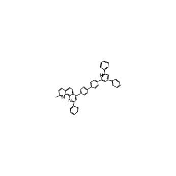 Cc1ccc2ccc3c(-c4ccc(-c5ccc(-c6cc(-c7ccccc7)cc(-c7ccccc7)n6)cc5)cc4)cc(-c4ccccc4)nc3c2n1